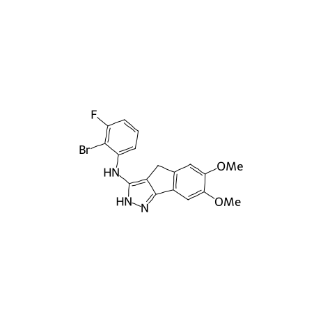 COc1cc2c(cc1OC)-c1n[nH]c(Nc3cccc(F)c3Br)c1C2